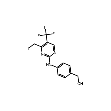 OCc1ccc(Nc2ncc(C(F)(F)F)c(CI)n2)cc1